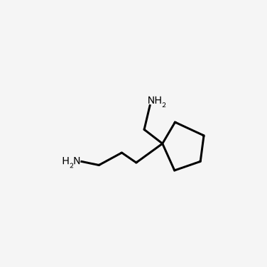 NCCCC1(CN)CCCC1